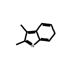 CC1=NC2=CCC=CC2=C1C